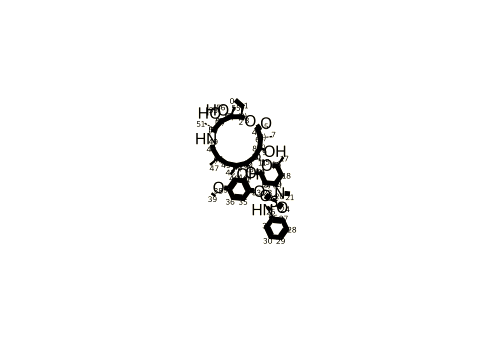 CC[C@H]1OC(=O)[C@H](C)[C@@H](O)[C@H](C)[C@@H](O[C@H]2O[C@@H](C)C[C@@H](N(C)S(=O)(=O)Nc3ccccc3)[C@@H]2Oc2ccc(OC)cc2)[C@](C)(O)C[C@@H](C)CN[C@H](C)[C@@H](O)[C@]1(C)O